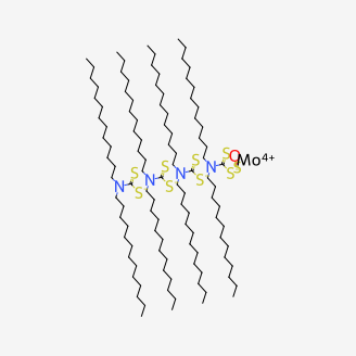 CCCCCCCCCCCCCN(CCCCCCCCCCCCC)C(=S)[S-].CCCCCCCCCCCCCN(CCCCCCCCCCCCC)C(=S)[S-].CCCCCCCCCCCCCN(CCCCCCCCCCCCC)C(=S)[S-].CCCCCCCCCCCCCN(CCCCCCCCCCCCC)C(=S)[S-].O=S.[Mo+4]